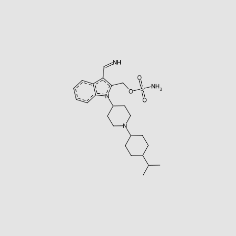 CC(C)C1CCC(N2CCC(n3c(COS(N)(=O)=O)c(C=N)c4ccccc43)CC2)CC1